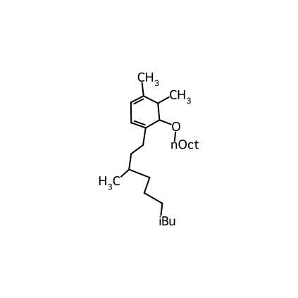 CCCCCCCCOC1C(CCC(C)CCCC(C)CC)=CC=C(C)C1C